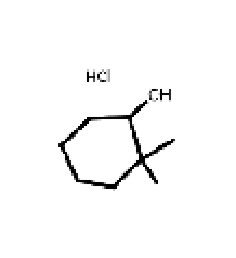 CC1(C)CCCCC1O.Cl